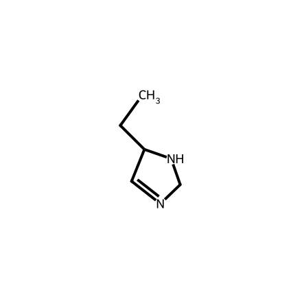 CCC1C=NCN1